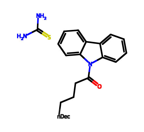 CCCCCCCCCCCCCC(=O)n1c2ccccc2c2ccccc21.NC(N)=S